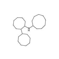 C1CCCCC(NC2CCCCCCC2C2CCCCCCC2)CCC1